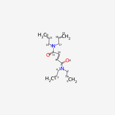 C=CCN(CC=C)C(=O)/C=C/C(=O)N(CC=C)CC=C